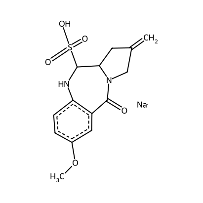 C=C1CC2C(S(=O)(=O)O)Nc3ccc(OC)cc3C(=O)N2C1.[Na]